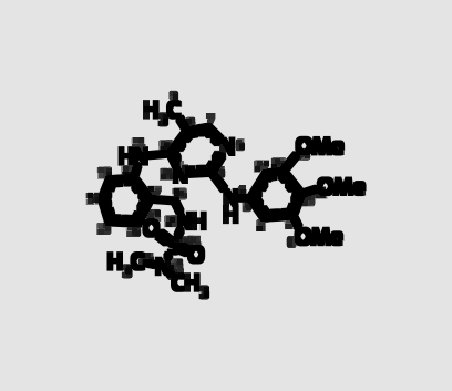 COc1cc(Nc2ncc(C)c(Nc3ccccc3CNS(=O)(=O)N(C)C)n2)cc(OC)c1OC